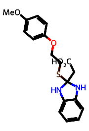 COc1ccc(OCCSC2(CC(=O)O)Nc3ccccc3N2)cc1